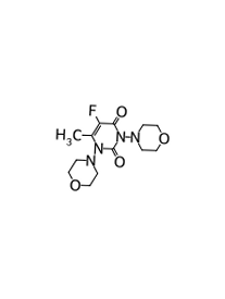 Cc1c(F)c(=O)n(N2CCOCC2)c(=O)n1N1CCOCC1